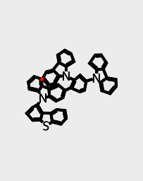 c1ccc2c(c1)sc1cccc(-n3c4ccccc4c4cc(-c5ccc(-n6c7ccccc7c7ccccc76)cc5-n5c6ccccc6c6ccccc65)ccc43)c12